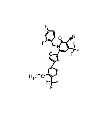 CCOc1cc(-c2coc(-c3cc(C(F)(F)F)c(C#N)c(=O)n3Cc3ccc(F)cc3F)c2)ccc1C(F)(F)F